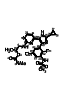 CNC(=O)O[C@@H](C)CNc1nccc(-c2[nH]c(C3CC3)nc2-c2cc(Cl)cc(NS(C)(=O)=O)c2F)n1